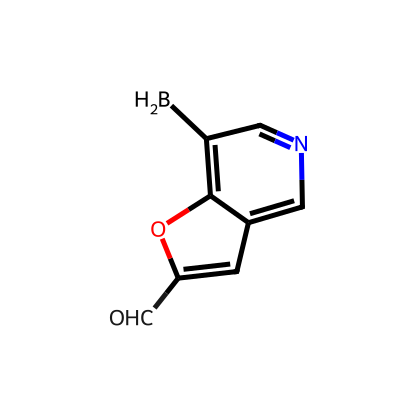 Bc1cncc2cc(C=O)oc12